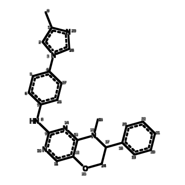 Cc1cn(-c2ccc(Nc3ncc4c(n3)N(C)C(c3ccccc3)CO4)cc2)cn1